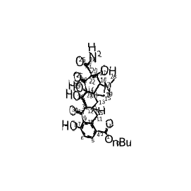 CCCCOC(=O)c1ccc(O)c2c1C[C@H]1C[C@@]3(C)C(N(C)C)C(O)=C(C(N)=O)C(=O)C3(O)C(O)=C1C2=O